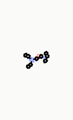 c1ccc2cc(-c3nc(-c4ccc5ccccc5c4)nc(-c4ccc5c(c4)oc4ccc(-n6c7ccccc7c7ccc8ccccc8c76)cc45)n3)ccc2c1